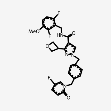 COc1ccc(F)c(CNC(=O)c2cn(Cc3ccc(Cn4cc(F)ccc4=O)cc3)nc2C2COC2)c1F